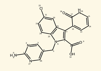 Nc1ncc(Cn2c(C(=O)O)c(-c3ccc[nH]c3=O)c3cc(Cl)ccc32)cn1